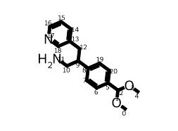 COC(OC)c1ccc(C(CN)Cc2cccnc2)cc1